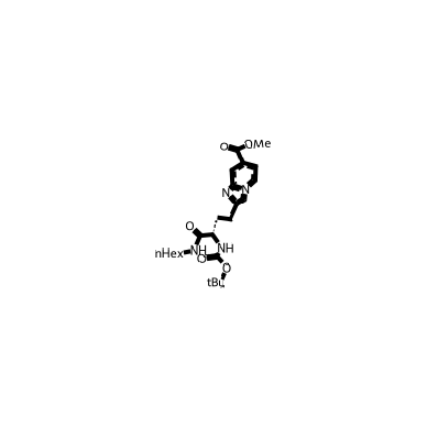 CCCCCCNC(=O)[C@H](CCc1cn2ccc(C(=O)OC)cc2n1)NC(=O)OC(C)(C)C